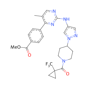 COC(=O)c1ccc(-c2nc(Nc3cnn(C4CCN(C(=O)C5(C(F)(F)F)CC5)CC4)c3)ncc2C)cc1